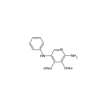 CCCCCCc1c(Nc2ccccc2)cnc(N)c1CCCCCC